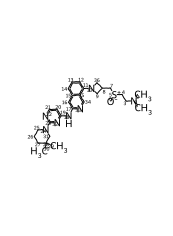 CN(C)CC[S+]([O-])CC1CN(c2cccc3cc(Nc4ccnc(N5CCCC(C)(C)C5)n4)ncc23)C1